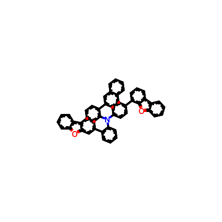 c1ccc(N(c2ccc(-c3cccc4c3oc3ccccc34)cc2)c2ccccc2-c2ccc3c(c2)oc2ccccc23)c(-c2ccc3ccccc3c2)c1